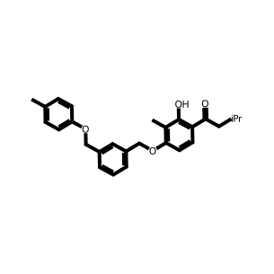 Cc1ccc(OCc2cccc(COc3ccc(C(=O)CC(C)C)c(O)c3C)c2)cc1